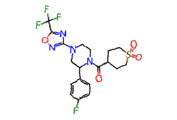 O=C(C1CCS(=O)(=O)CC1)N1CCN(c2noc(C(F)(F)F)n2)CC1c1ccc(F)cc1